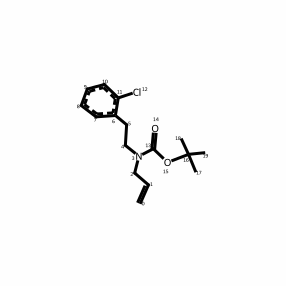 C=CCN(CCc1ccccc1Cl)C(=O)OC(C)(C)C